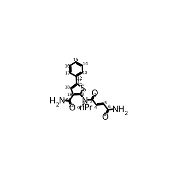 CCCN(C(=O)C=CC(N)=O)c1sc(-c2ccccc2)cc1C(N)=O